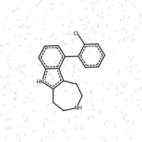 Clc1ccccc1-c1cccc2[nH]c3c(c12)CCNCC3